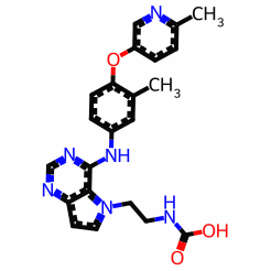 Cc1ccc(Oc2ccc(Nc3ncnc4ccn(CCNC(=O)O)c34)cc2C)cn1